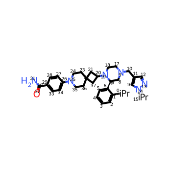 CC(C)c1ccccc1[C@@H]1CN(Cc2cnn(C(C)C)c2)CCN1C1CC2(CCN(c3ccc(C(N)=O)cc3)CC2)C1